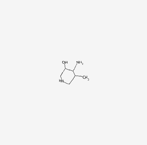 CC1CNCC(O)C1N